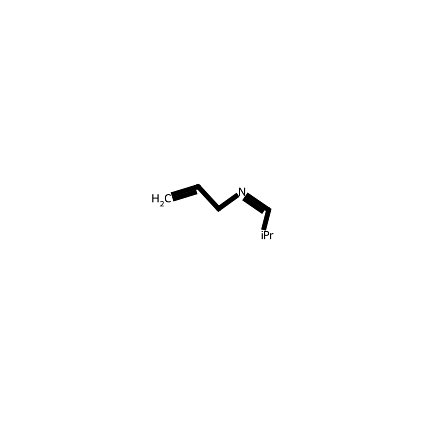 C=CC/N=C\C(C)C